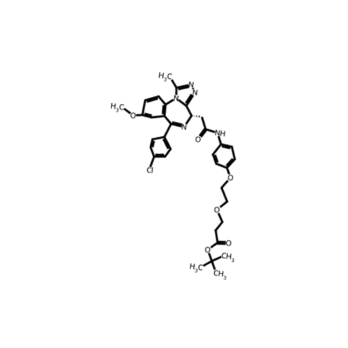 COc1ccc2c(c1)C(c1ccc(Cl)cc1)=N[C@@H](CC(=O)Nc1ccc(OCCOCCC(=O)OC(C)(C)C)cc1)c1nnc(C)n1-2